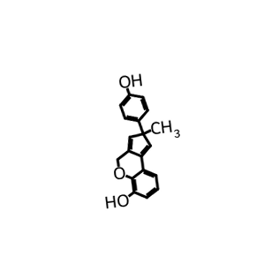 CC1(c2ccc(O)cc2)C=C2COc3c(O)cccc3C2=C1